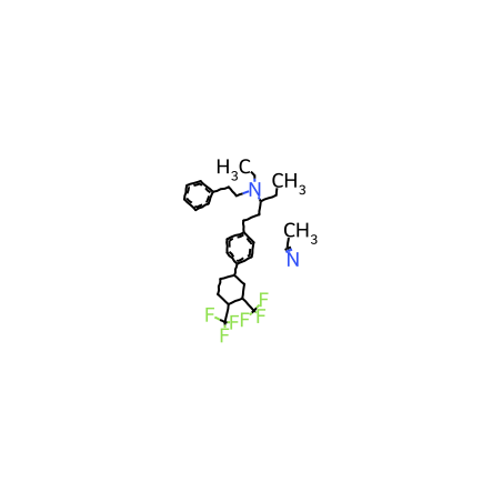 CC#N.CCC(CCc1ccc(C2CCC(C(F)(F)F)C(C(F)(F)F)C2)cc1)N(CC)CCc1ccccc1